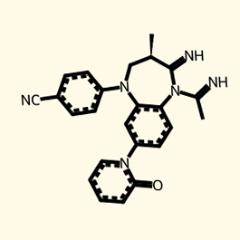 CC(=N)N1C(=N)[C@H](C)CN(c2ccc(C#N)cc2)c2cc(-n3ccccc3=O)ccc21